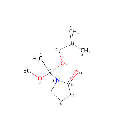 C=C(C)COC(C)(OCC)N1CCCC1=O